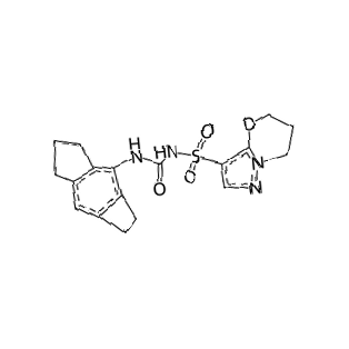 O=C(Nc1c2c(cc3c1CC3)CCC2)NS(=O)(=O)c1cnn2c1OCCC2